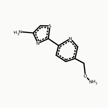 NOCc1ccc(-c2nc(N)cs2)nc1